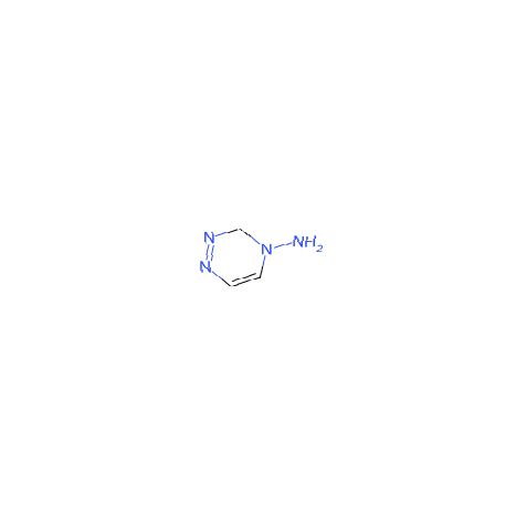 NN1C=CN=NC1